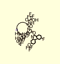 CC1(S(=O)(=O)NC(=O)[C@@]23C[C@H]2/C=C\CCCCC[C@H](NC(=O)[C@H](O)C(F)(F)F)C(=O)N2C[C@H](Oc4nc5cc(OC(F)(F)F)ccc5c5cc(F)ccc45)C[C@H]2C(=O)N3)CC1